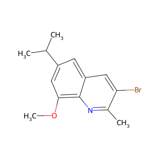 COc1cc(C(C)C)cc2cc(Br)c(C)nc12